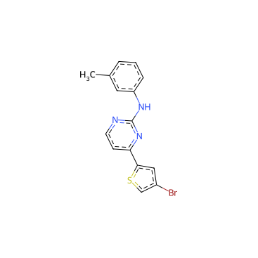 Cc1cccc(Nc2nccc(-c3cc(Br)cs3)n2)c1